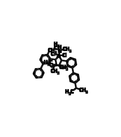 CC1=Cc2c(-c3ccccc3)ccc(C)c2[CH]1[Zr]([Cl])([Cl])([CH]1C(C(C)C)=Cc2c(-c3ccc(C(C)C)cc3)cccc21)[SiH](C)C